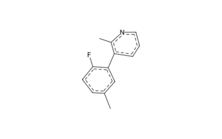 Cc1ccc(F)c(-c2cccnc2C)c1